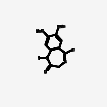 COc1cc2c(cc1OC)N(I)C(=O)CN=C2Cl